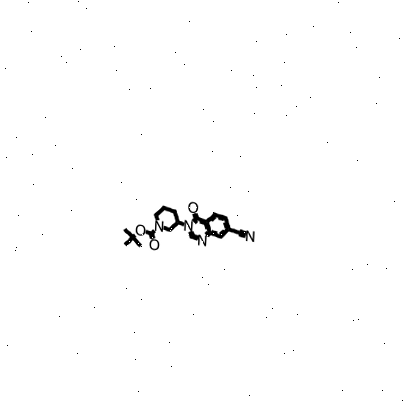 CC(C)(C)OC(=O)N1CCCC(n2cnc3cc(C#N)ccc3c2=O)C1